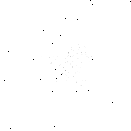 O=C(O)C1=C(CCl)CS[C@H]2C(NC(=O)/C(=N\OC3(C(=O)OC(c4ccccc4)c4ccccc4)CCCC3)c3csc(NC(c4ccccc4)(c4ccccc4)c4ccccc4)n3)C(=O)N12